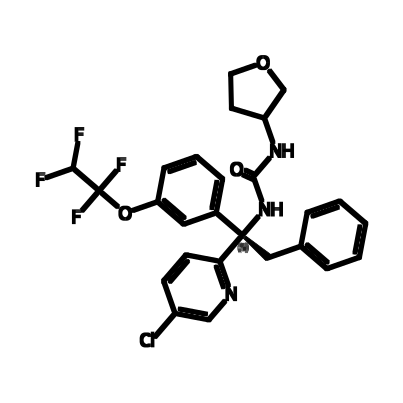 O=C(NC1CCOC1)N[C@@](Cc1ccccc1)(c1cccc(OC(F)(F)C(F)F)c1)c1ccc(Cl)cn1